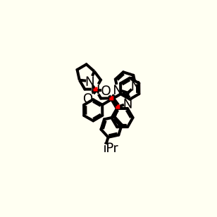 CC(C)c1ccc(-c2nc3ncccn3c2CN2CC3CCC(C2)N3C(=O)OC(c2ccccc2)(c2ccccc2)c2ccccc2)cc1